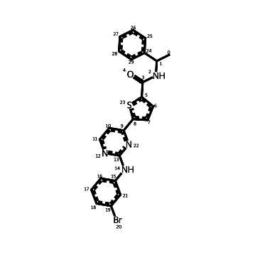 CC(NC(=O)c1ccc(-c2ccnc(Nc3cccc(Br)c3)n2)s1)c1ccccc1